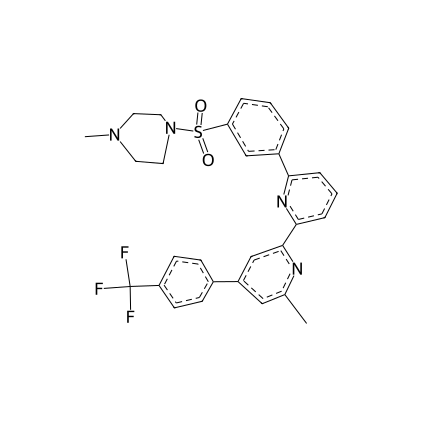 Cc1cc(-c2ccc(C(F)(F)F)cc2)cc(-c2cccc(-c3cccc(S(=O)(=O)N4CCN(C)CC4)c3)n2)n1